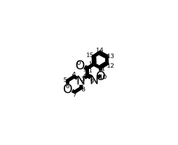 O=c1c(N2CCOCC2)noc2ccccc12